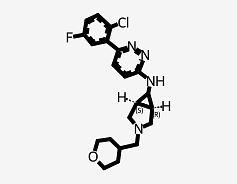 Fc1ccc(Cl)c(-c2ccc(NC3[C@H]4CN(CC5CCOCC5)C[C@@H]34)nn2)c1